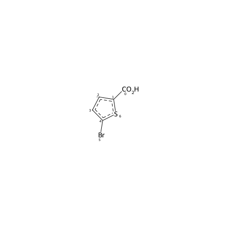 O=C(O)c1[c]cc(Br)s1